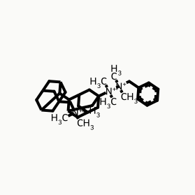 C[N+](C)(C)CC12CC3CC(C1)C(C1C4CC5CC1CC([N+](C)(C)[N+](C)(C)Cc1ccccc1)(C5)C4)C(C3)C2